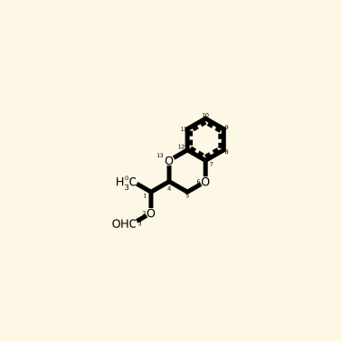 CC(OC=O)C1COc2ccccc2O1